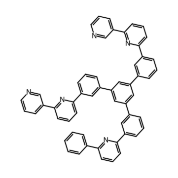 c1ccc(-c2cccc(-c3cccc(-c4cc(-c5cccc(-c6cccc(-c7cccnc7)n6)c5)cc(-c5cccc(-c6cccc(-c7cccnc7)n6)c5)c4)c3)n2)cc1